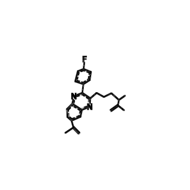 C=C(C)c1ccc2nc(-c3ccc(F)cc3)c(CCCC(C)C(=C)C)nc2c1